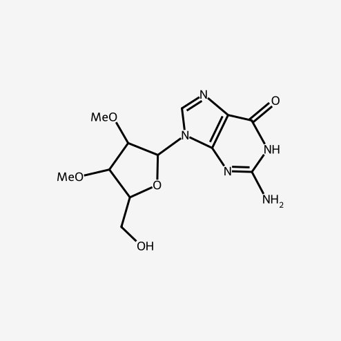 COC1C(CO)OC(n2cnc3c(=O)[nH]c(N)nc32)C1OC